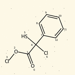 O=C(OCl)C(S)(Cl)c1ccccc1